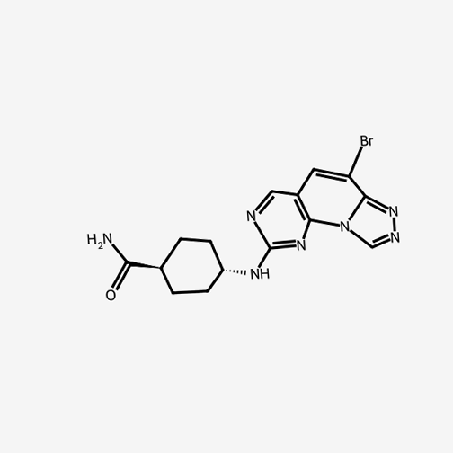 NC(=O)[C@H]1CC[C@H](Nc2ncc3cc(Br)c4nncn4c3n2)CC1